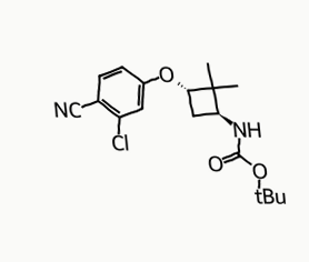 CC(C)(C)OC(=O)N[C@H]1C[C@H](Oc2ccc(C#N)c(Cl)c2)C1(C)C